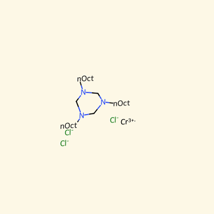 CCCCCCCCN1CN(CCCCCCCC)CN(CCCCCCCC)C1.[Cl-].[Cl-].[Cl-].[Cr+3]